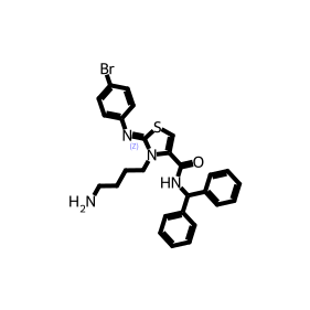 NCCCCn1c(C(=O)NC(c2ccccc2)c2ccccc2)cs/c1=N\c1ccc(Br)cc1